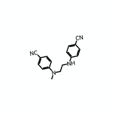 CN(CCNc1ccc(C#N)cc1)c1ccc(C#N)cc1